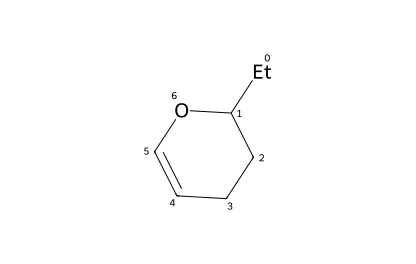 CCC1CCC=CO1